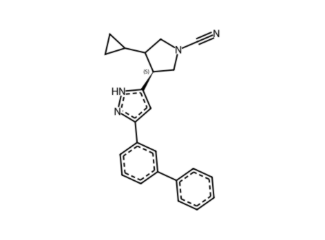 N#CN1CC(C2CC2)[C@H](c2cc(-c3cccc(-c4ccccc4)c3)n[nH]2)C1